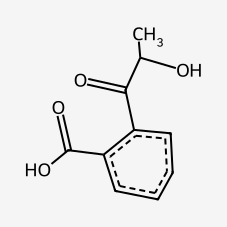 CC(O)C(=O)c1ccccc1C(=O)O